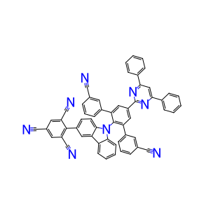 N#Cc1cccc(-c2cc(-c3nc(-c4ccccc4)cc(-c4ccccc4)n3)cc(-c3cccc(C#N)c3)c2-n2c3ccccc3c3cc(-c4c(C#N)cc(C#N)cc4C#N)ccc32)c1